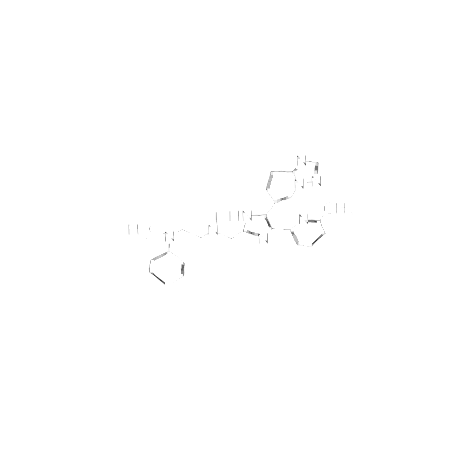 Cc1cccc(-c2nc(CN(I)CCN(C)c3ccccc3)[nH]c2-c2ccc3ncnn3c2)n1